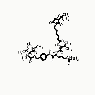 CNC(=O)[C@H](C(C)C)N(C)C(=O)OCc1ccc(NC(=O)[C@H](CCCNC(N)=O)NC(=O)[C@@H](NC(=O)CCCCCN2C(=O)CC(C(C)(C)C)C2=O)C(C)C)cc1